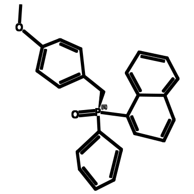 COc1ccc(C[P@](=O)(c2ccccc2)c2cccc3ccccc23)cc1